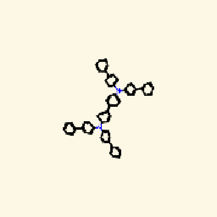 C1=CCCC(c2ccc(N(C3=CC=C(c4ccccc4)CC3)c3ccc(C4=CCC(N(c5ccc(-c6ccccc6)cc5)c5ccc(-c6ccccc6)cc5)C=C4)cc3)cc2)=C1